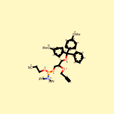 C#CCOC(COP(OCCC#N)N(C(C)C)C(C)C)COC(c1ccccc1)(c1ccc(OC)cc1)c1ccc(OC)cc1